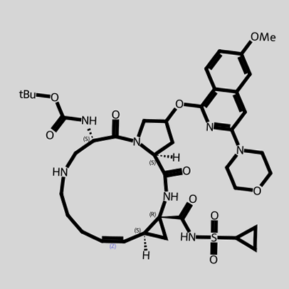 COc1ccc2c(OC3C[C@H]4C(=O)N[C@]5(C(=O)NS(=O)(=O)C6CC6)C[C@H]5/C=C\CCCNC[C@H](NC(=O)OC(C)(C)C)C(=O)N4C3)nc(N3CCOCC3)cc2c1